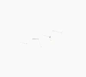 CCCC(=O)NC(CF)CCN